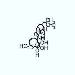 CC(C)C[C@@H]1CCO[C@@H]2[C@H](CN[C@@H]2C(=O)N[C@@H]2C/C=C\C[C@@H](CO)SC3OC2C(O)C(O)C3O)C1